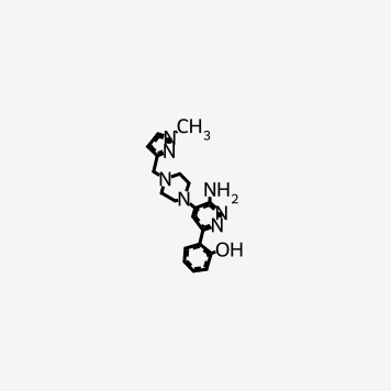 Cn1ccc(CN2CCN(c3cc(-c4ccccc4O)nnc3N)CC2)n1